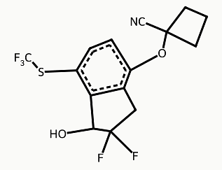 N#CC1(Oc2ccc(SC(F)(F)F)c3c2CC(F)(F)C3O)CCC1